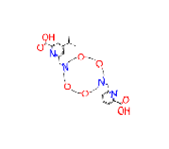 CC(C)c1cc(CN2CCOCCOCCN(Cc3cccc(C(=O)O)n3)CCOCCOCC2)nc(C(=O)O)c1